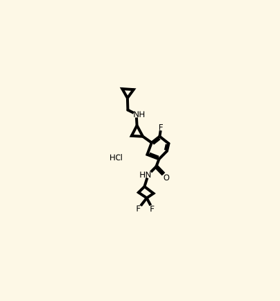 Cl.O=C(NC1CC(F)(F)C1)c1ccc(F)c(C2CC2NCC2CC2)c1